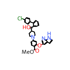 COC(=O)c1ccc(N2CCC([C@@H](O)c3ccccc3-c3ccc(Cl)cc3)CC2)cc1Oc1cnc2[nH]ccc2c1